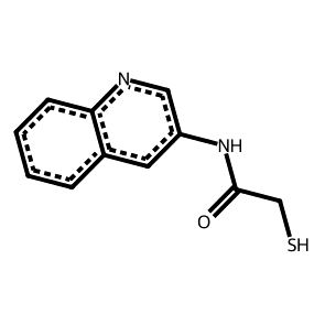 O=C(CS)Nc1cnc2ccccc2c1